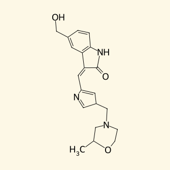 CC1CN(CC2C=NC(/C=C3\C(=O)Nc4ccc(CO)cc43)=C2)CCO1